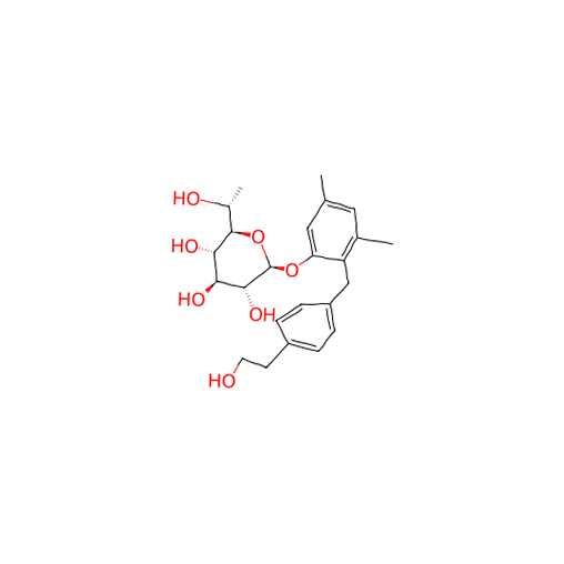 Cc1cc(C)c(Cc2ccc(CCO)cc2)c(O[C@@H]2O[C@H]([C@@H](C)O)[C@@H](O)[C@H](O)[C@H]2O)c1